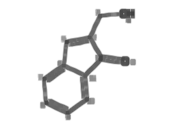 O=C1C(CO)=Cc2ccccc21